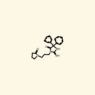 N=C1NC(c2ccccc2)(c2ccccc2)C(=O)N1CCCN1CCCC1=O